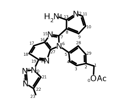 CC(=O)OCc1ccc(-n2c(-c3cccnc3N)nc3ccc(-n4cc(C)nn4)nc32)cc1